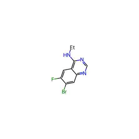 CCNc1ncnc2cc(Br)c(F)cc12